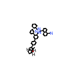 C[C@@H]1C2(c3ccc(-c4ccc(-c5nc(-c6ccccc6)nc(-c6cccc7c(C#N)cccc67)n5)c(-c5ccccc5)c4)cc3)C[C@H]3CC[C@@H](C2)[C@@]31C